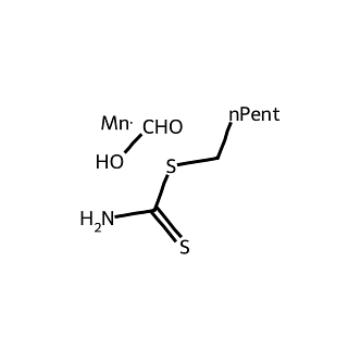 CCCCCCSC(N)=S.O=CO.[Mn]